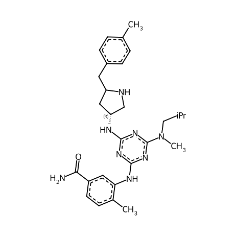 Cc1ccc(CC2C[C@@H](Nc3nc(Nc4cc(C(N)=O)ccc4C)nc(N(C)CC(C)C)n3)CN2)cc1